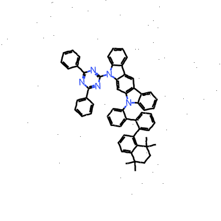 CC1(C)CCC(C)(C)c2c(-c3ccccc3-c3ccccc3-n3c4ccccc4c4cc5c6ccccc6n(-c6nc(-c7ccccc7)nc(-c7ccccc7)n6)c5cc43)cccc21